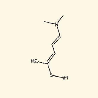 CC(C)SC(C#N)=CC=CN(C)C